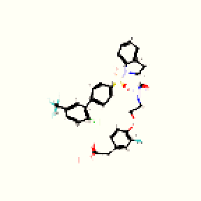 O=C(O)Cc1ccc(OCCNC(=O)[C@@H]2Cc3ccccc3N2S(=O)(=O)c2ccc(-c3cc(C(F)(F)F)ccc3Cl)cc2)c(F)c1